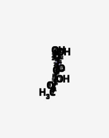 CCC(=O)CCC(O)CCOC(=O)/C=C/c1ccc(O)c(O)c1